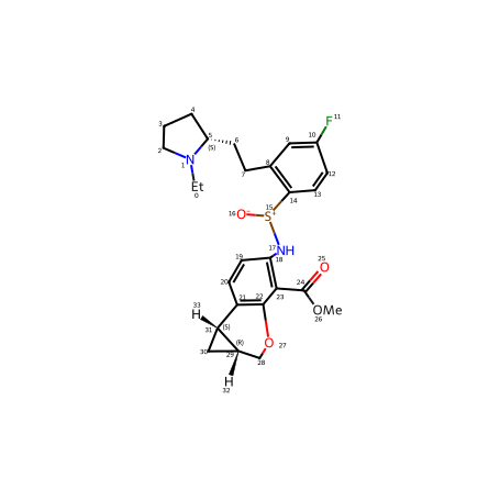 CCN1CCC[C@@H]1CCc1cc(F)ccc1[S+]([O-])Nc1ccc2c(c1C(=O)OC)OC[C@@H]1C[C@H]21